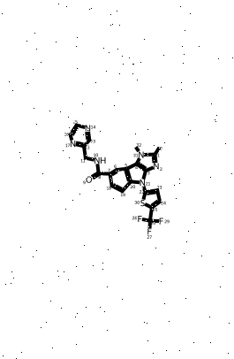 Cc1nc2c(c3cc(C(=O)NCc4cnccn4)ccc3n2-c2ccc(C(F)(F)F)s2)n1C